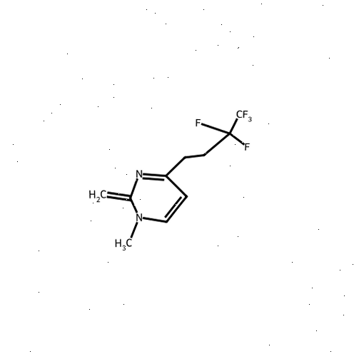 C=C1N=C(CCC(F)(F)C(F)(F)F)C=CN1C